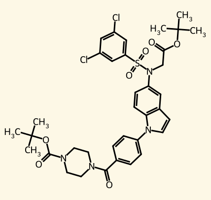 CC(C)(C)OC(=O)CN(c1ccc2c(ccn2-c2ccc(C(=O)N3CCN(C(=O)OC(C)(C)C)CC3)cc2)c1)S(=O)(=O)c1cc(Cl)cc(Cl)c1